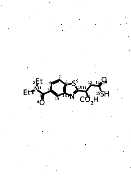 CCN(CC)C(=O)c1ccc2sc(C(CC(=O)S)C(=O)O)nc2c1